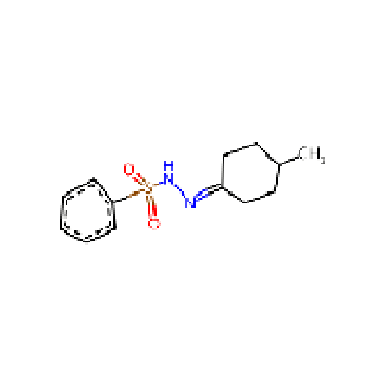 CC1CCC(=NNS(=O)(=O)c2ccccc2)CC1